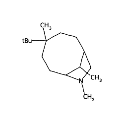 CC1C2CCC(C)(C(C)(C)C)CCC1N(C)C2